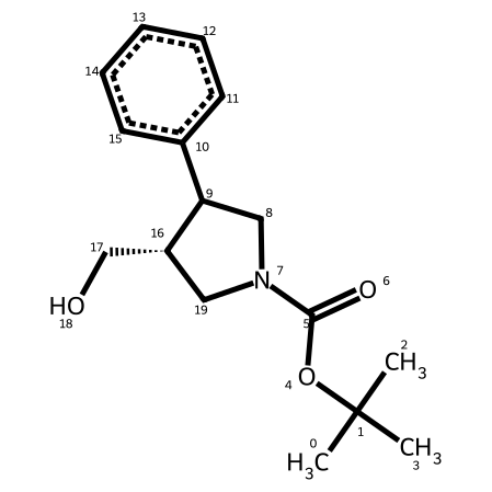 CC(C)(C)OC(=O)N1CC(c2ccccc2)[C@@H](CO)C1